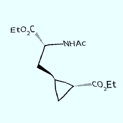 CCOC(=O)[C@@H](C[C@@H]1C[C@H]1C(=O)OCC)NC(C)=O